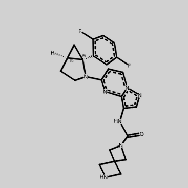 O=C(Nc1cnn2ccc(N3CC[C@H]4C[C@]43c3cc(F)ccc3F)nc12)N1CC2(CNC2)C1